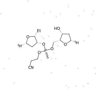 [3H][C@H]1C[C@@H](O)[C@@H](COP(=S)(OCCC#N)O[C@@H]2C[C@H]([3H])O[C@@H]2CC)O1